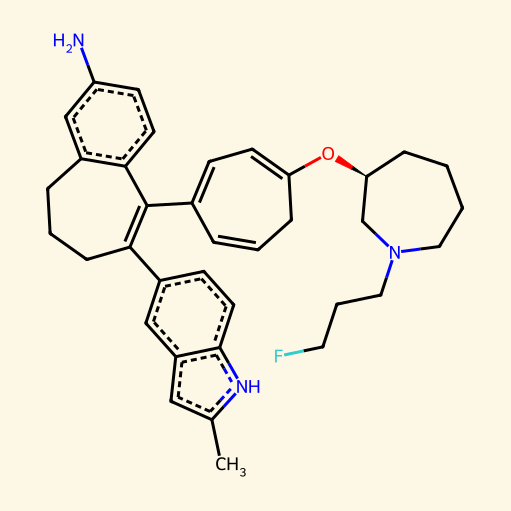 Cc1cc2cc(C3=C(C4=CC=C(O[C@H]5CCCCN(CCCF)C5)CC=C4)c4ccc(N)cc4CCC3)ccc2[nH]1